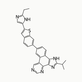 CCc1ncc(-c2cc3ccc(-c4ccc5c(c4)c4cncnc4c4nc(C(C)C)[nH]c54)cc3s2)[nH]1